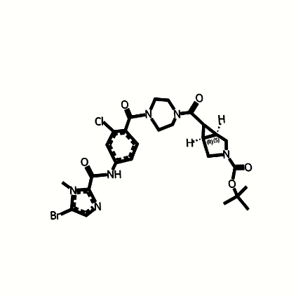 Cn1c(Br)cnc1C(=O)Nc1ccc(C(=O)N2CCN(C(=O)C3[C@H]4CN(C(=O)OC(C)(C)C)C[C@@H]34)CC2)c(Cl)c1